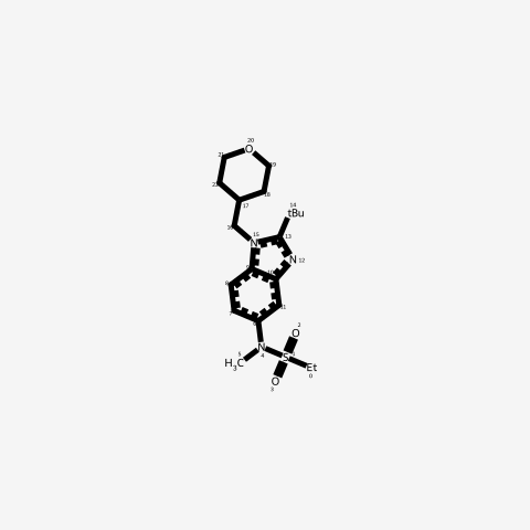 CCS(=O)(=O)N(C)c1ccc2c(c1)nc(C(C)(C)C)n2CC1CCOCC1